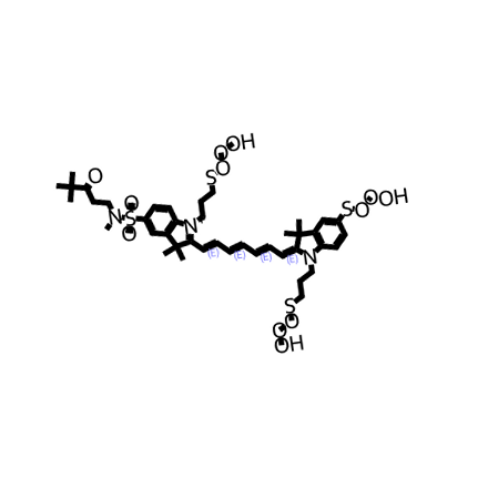 CN(CCC(=O)C(C)(C)C)S(=O)(=O)c1ccc2c(c1)C(C)(C)C(/C=C/C=C/C=C/C=C1/N(CCCSOOO)c3ccc(SOOO)cc3C1(C)C)=[N+]2CCCSOOO